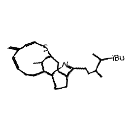 C=C1/C=C\CCC2C(C)C(CC34N=C(CCC(C)C(C)C(C)CC)C3CCC24)S/C=C\1